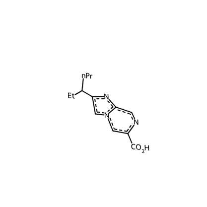 CCCC(CC)c1cn2cc(C(=O)O)ncc2n1